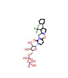 O=c1ccn([C@@H]2O[C@H](COP(=O)(O)OP(=O)(O)O)C(O)C2O)c(=O)n1Cc1nccc(-c2ccccc2)c1C(F)(F)F